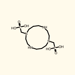 O=P(O)(O)CN1CCCNCCN(CP(=O)(O)O)CCCNCC1